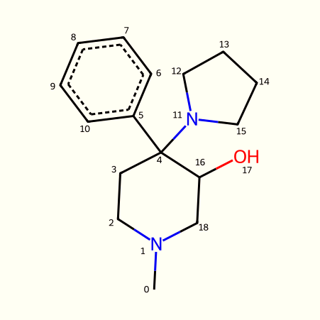 CN1CCC(c2ccccc2)(N2CCCC2)C(O)C1